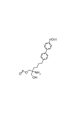 CCCCCCCCc1ccc(-c2ccc(CCCCC(N)(CO)COP=O)cc2)cc1